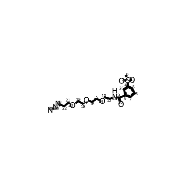 CS(=O)(=O)c1cccc(C(=O)NCCOCCOCCOCCN=[N+]=[N-])c1